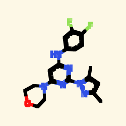 Cc1cc(C)n(-c2nc(Nc3ccc(F)c(F)c3)cc(N3CCOCC3)n2)n1